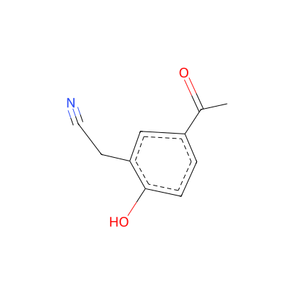 CC(=O)c1ccc(O)c(CC#N)c1